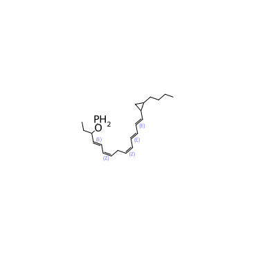 CCCCC1CC1/C=C/C=C/C=C\C/C=C\C=C\C(CC)OP